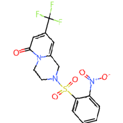 O=c1cc(C(F)(F)F)cc2n1CCN(S(=O)(=O)c1ccccc1[N+](=O)[O-])C2